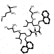 CCC(C)C(CN(CC(=O)S(=O)(=O)C(=O)CN(Cc1cccc2ccccc12)CC(NC[C@H](N)CS)C(C)CC)Cc1cccc2ccccc12)NC[C@H](N)CS.CSCC[C@H](N)C(=O)O